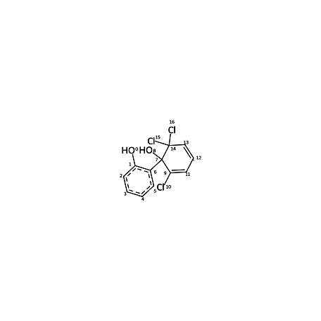 Oc1ccccc1C1(O)C(Cl)=C[C]=CC1(Cl)Cl